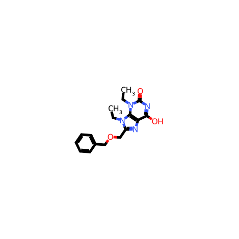 CCn1c(COCc2ccccc2)nc2c(O)nc(=O)n(CC)c21